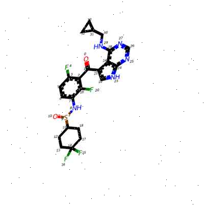 O=C(c1c(F)ccc(N[S+]([O-])C2CCC(F)(F)CC2)c1F)c1c[nH]c2ncnc(NCC3CC3)c12